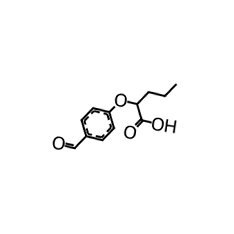 CCCC(Oc1ccc(C=O)cc1)C(=O)O